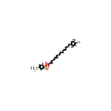 Cc1ccc(S(=O)(=O)OCCCCCCCCCCCCCCCc2ccc(I)cc2)cc1